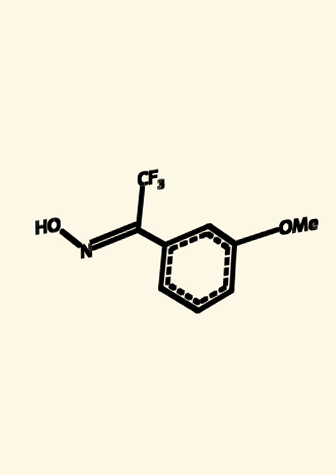 COc1cccc(/C(=N/O)C(F)(F)F)c1